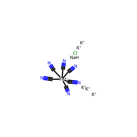 N#[C][Fe-4]([C]#N)([C]#N)([C]#N)([C]#N)[C]#N.[Cl-].[K+].[K+].[K+].[K+].[K+].[NaH]